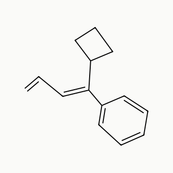 C=CC=C(c1ccccc1)C1CCC1